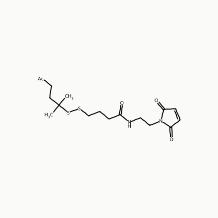 CC(=O)CCC(C)(C)SSCCCC(=O)NCCN1C(=O)C=CC1=O